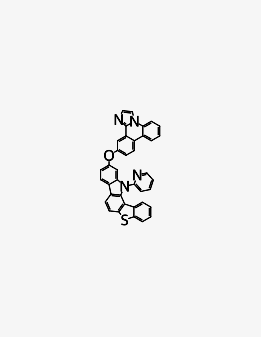 c1ccc(-n2c3cc(Oc4ccc5c6ccccc6n6ccnc6c5c4)ccc3c3ccc4sc5ccccc5c4c32)nc1